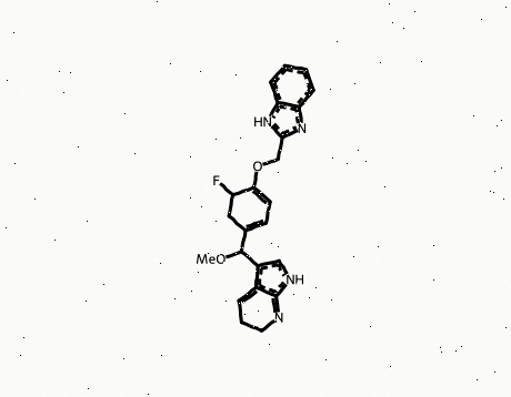 COC(C1=CC=C(OCc2nc3ccccc3[nH]2)C(F)C1)c1c[nH]c2c1=CCCN=2